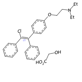 CCN(CC)CCOc1ccc(/C(=C(\Cl)c2ccccc2)c2ccccc2)cc1.O=C(O)CO